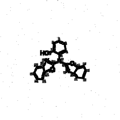 Oc1ccccc1N(c1nc2ccccc2o1)c1nc2ccccc2o1